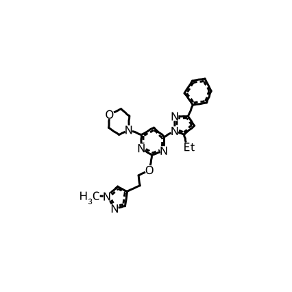 CCc1cc(-c2ccccc2)nn1-c1cc(N2CCOCC2)nc(OCCc2cnn(C)c2)n1